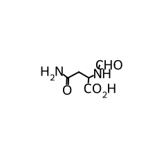 NC(=O)CC(N[C]=O)C(=O)O